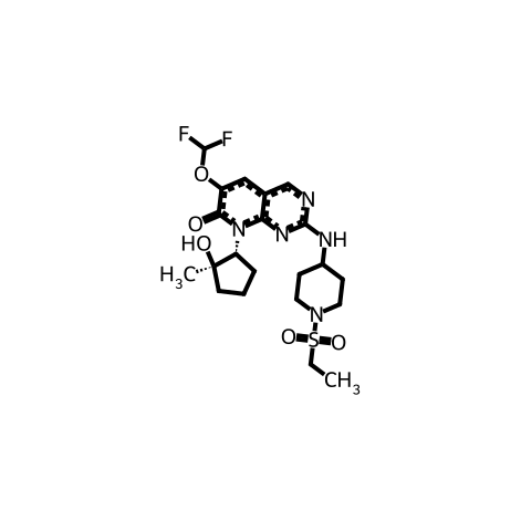 CCS(=O)(=O)N1CCC(Nc2ncc3cc(OC(F)F)c(=O)n([C@@H]4CCC[C@@]4(C)O)c3n2)CC1